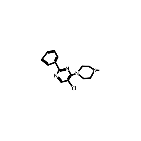 CN1CCN(c2nc(-c3ccccc3)ncc2Cl)CC1